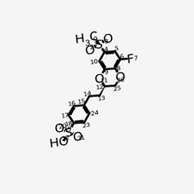 CS(=O)(=O)c1cc(F)c2c(c1)O[C@H](CCc1ccc(S(=O)(=O)O)cc1)CO2